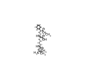 CCOC(=O)C(CCN[C@@H](CCCCNC(=O)OC(C)(C)C)C(=O)O)c1ccccc1